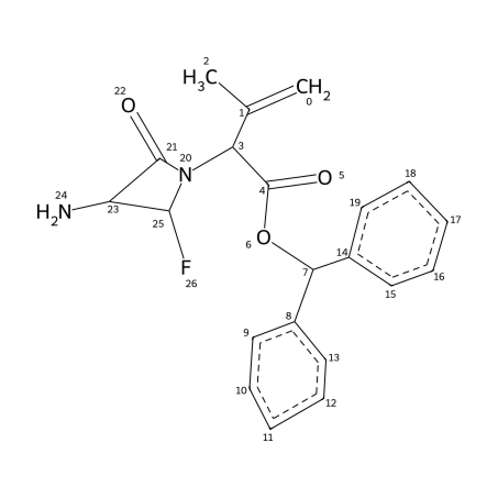 C=C(C)C(C(=O)OC(c1ccccc1)c1ccccc1)N1C(=O)C(N)C1F